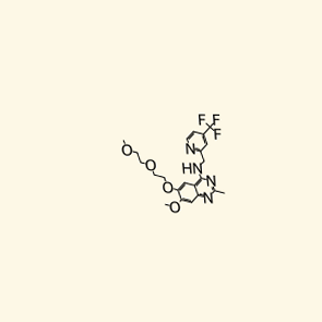 COCCOCCOc1cc2c(NCc3cc(C(F)(F)F)ccn3)nc(C)nc2cc1OC